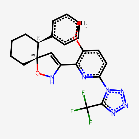 COc1ccc(-n2nnnc2C(F)(F)F)nc1C1=C[C@]2(CCCC[C@H]2c2ccccc2)ON1